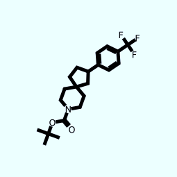 CC(C)(C)OC(=O)N1CCC2(CCC(c3ccc(C(F)(F)F)cc3)C2)CC1